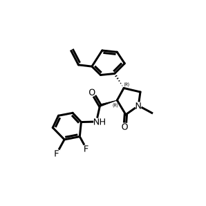 C=Cc1cccc([C@@H]2CN(C)C(=O)[C@H]2C(=O)Nc2cccc(F)c2F)c1